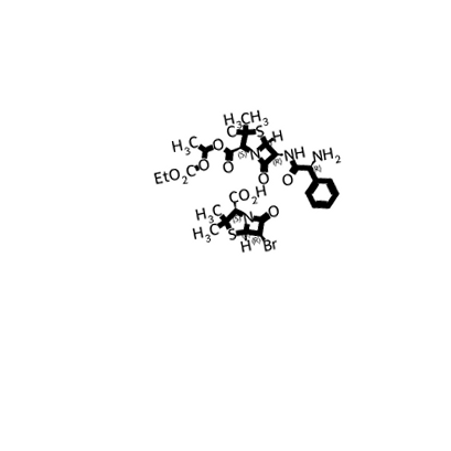 CC1(C)S[C@@H]2[C@H](Br)C(=O)N2[C@H]1C(=O)O.CCOC(=O)OC(C)OC(=O)[C@@H]1N2C(=O)[C@@H](NC(=O)[C@H](N)c3ccccc3)[C@H]2SC1(C)C